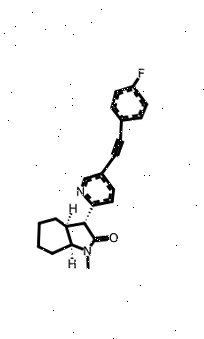 CN1C(=O)[C@@H](c2ccc(C#Cc3ccc(F)cc3)cn2)[C@@H]2CCCC[C@@H]21